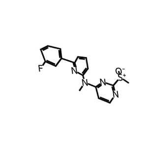 CN(c1cccc(-c2cccc(F)c2)n1)c1ccnc([S+](C)[O-])n1